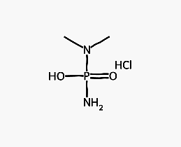 CN(C)P(N)(=O)O.Cl